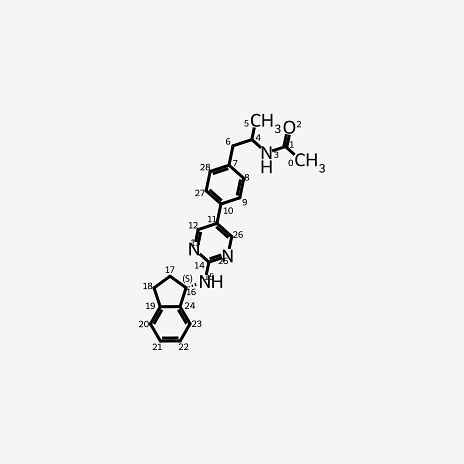 CC(=O)NC(C)Cc1ccc(-c2cnc(N[C@H]3CCc4ccccc43)nc2)cc1